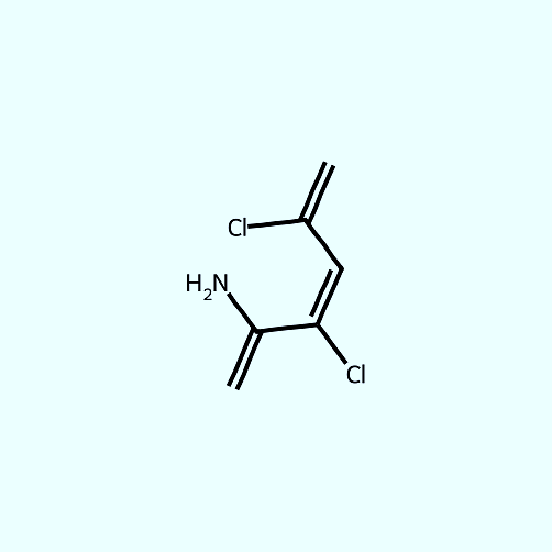 C=C(Cl)/C=C(/Cl)C(=C)N